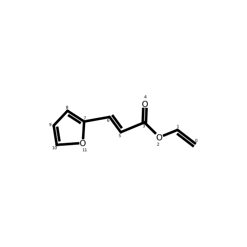 C=COC(=O)C=Cc1ccco1